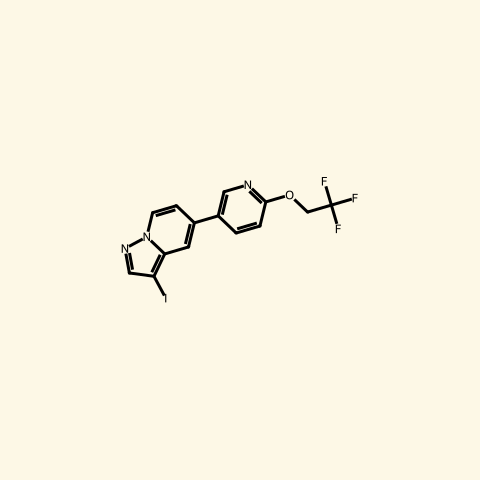 FC(F)(F)COc1ccc(-c2ccn3ncc(I)c3c2)cn1